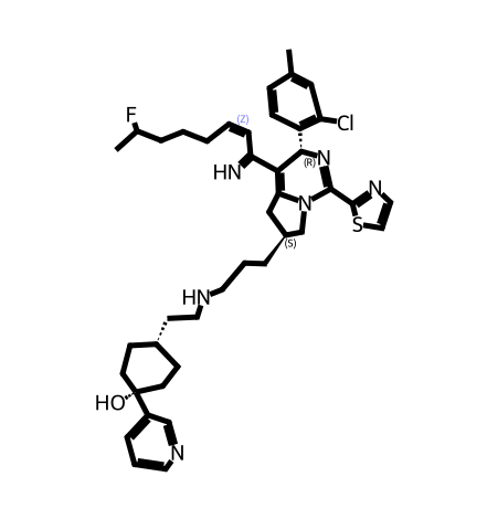 Cc1ccc([C@@H]2N=C(c3nccs3)N3C[C@@H](CCCNCC[C@H]4CC[C@](O)(c5cccnc5)CC4)CC3=C2C(=N)/C=C\CCCC(C)F)c(Cl)c1